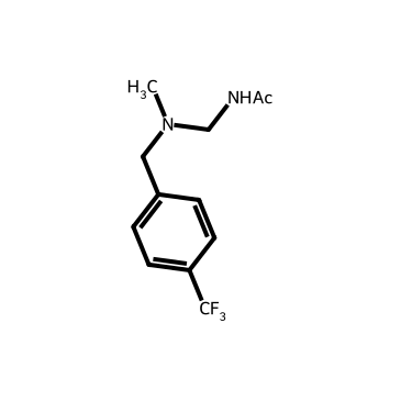 CC(=O)NCN(C)Cc1ccc(C(F)(F)F)cc1